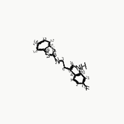 Fc1ccc2c(CCN=c3sc4ccccc4s3)c[nH]c2c1